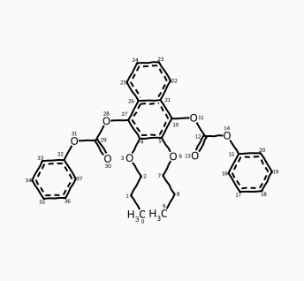 CCCOc1c(OCCC)c(OC(=O)Oc2ccccc2)c2ccccc2c1OC(=O)Oc1ccccc1